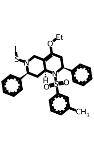 CCOC1=C2CN(SI)[C@H](c3ccccc3)C[C@@H]2N(S(=O)(=O)c2cccc(C)c2)[C@H](c2ccccc2)C1